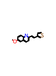 COc1ccc2nc(/C=C/c3ccsc3)ccc2c1